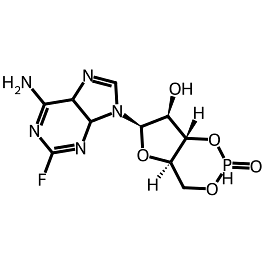 NC1=NC(F)=NC2C1N=CN2[C@@H]1O[C@@H]2CO[PH](=O)O[C@H]2[C@@H]1O